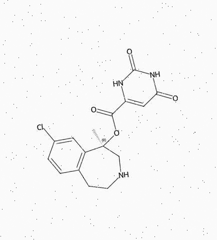 C[C@]1(OC(=O)c2cc(=O)[nH]c(=O)[nH]2)CNCCc2ccc(Cl)cc21